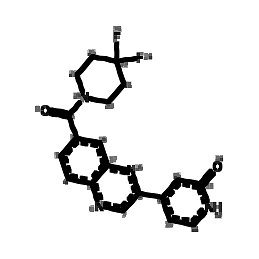 O=C(c1ccc2ncc(-c3cc[nH]c(=O)c3)nc2c1)N1CCC(F)(F)CC1